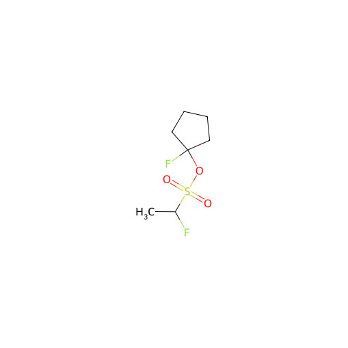 CC(F)S(=O)(=O)OC1(F)CCCC1